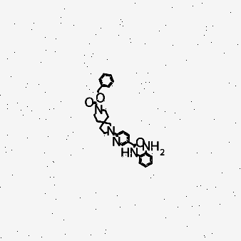 Nc1ccccc1NC(=O)c1ccc(N2CCC3(CCN(C(=O)OCc4ccccc4)CC3)C2)nc1